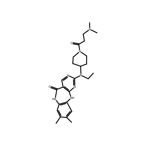 CCN(c1ncc2c(n1)Nc1cc(C)c(C)cc1NC2=O)C1CCN(C(=O)CCN(C)C)CC1